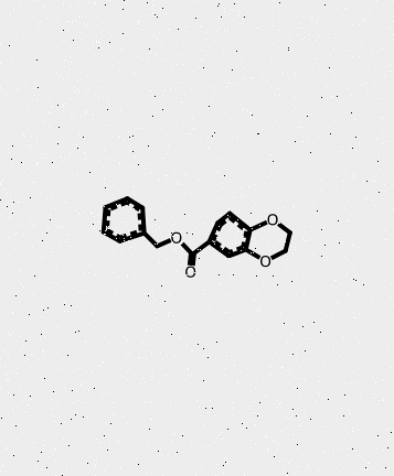 O=C(OCc1ccccc1)c1ccc2c(c1)OCCO2